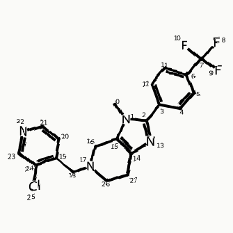 Cn1c(-c2ccc(C(F)(F)F)cc2)nc2c1CN(Cc1ccncc1Cl)CC2